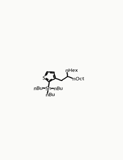 CCCCCCCCC(CCCCCC)Cc1ccs[c]1[Sn]([CH2]CCC)([CH2]CCC)[CH2]CCC